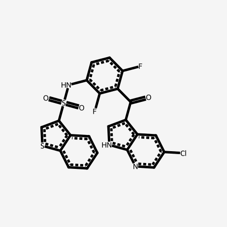 O=C(c1c(F)ccc(NS(=O)(=O)c2csc3ccccc23)c1F)c1c[nH]c2ncc(Cl)cc12